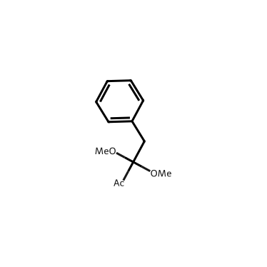 COC(Cc1ccccc1)(OC)C(C)=O